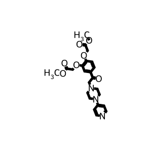 COC(=O)COc1ccc(C(=O)CN2CCN(c3ccncc3)CC2)cc1OCC(=O)OC